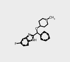 CN1CCC(OC(c2ccccc2)c2nc3cc(F)ccc3[nH]2)CC1